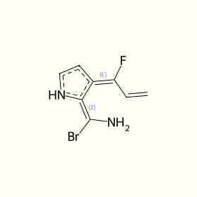 C=C/C(F)=c1/cc[nH]/c1=C(/N)Br